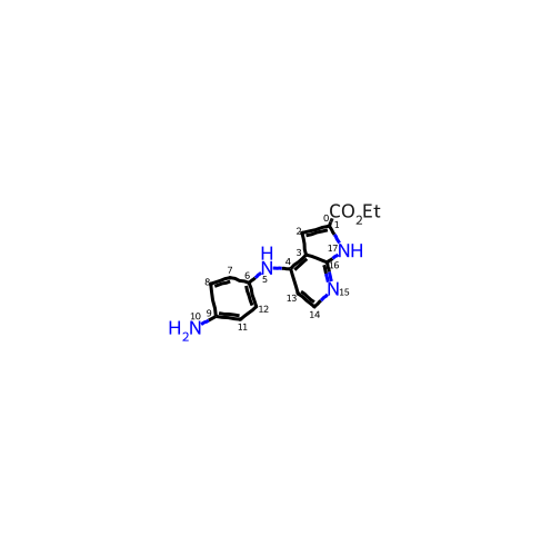 CCOC(=O)c1cc2c(Nc3ccc(N)cc3)ccnc2[nH]1